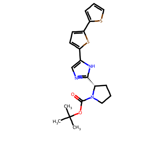 CC(C)(C)OC(=O)N1CCC[C@H]1c1ncc(-c2ccc(-c3cccs3)s2)[nH]1